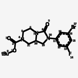 CC(C)(C)OC(=O)N1CCN2C(=O)N(c3cc(F)cc(Br)c3)CC2C1